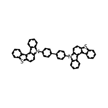 c1ccc2c(c1)sc1ccc3c(c4ccccc4n3-c3ccc(-c4ccc(-n5c6ccccc6c6c7c(ccc65)sc5ccccc57)cc4)cc3)c12